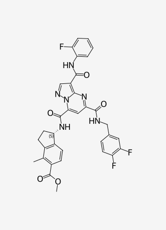 COC(=O)c1ccc2c(c1C)CC[C@@H]2NC(=O)c1cc(C(=O)NCc2ccc(F)c(F)c2)nc2c(C(=O)Nc3ccccc3F)cnn12